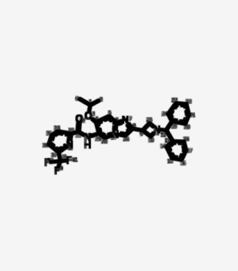 CC(C)Oc1cc2nc(C3CN(C(c4ccccc4)c4ccccc4)C3)cn2cc1NC(=O)c1cccc(C(F)(F)F)n1